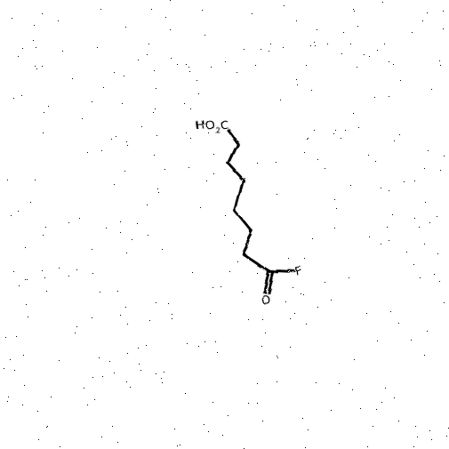 O=C(O)CCCCCCC(=O)F